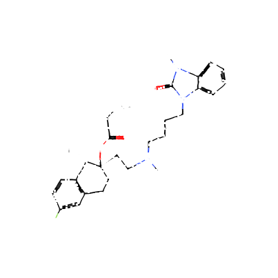 COCC(=O)O[C@]1(CCN(C)CCCCn2c(=O)n(C(C)C)c3ccccc32)CCc2cc(F)ccc2[C@@H]1C(C)C.Cl